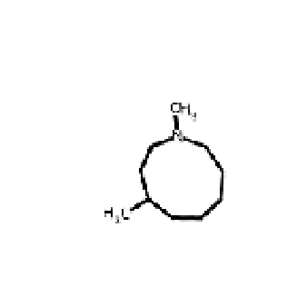 CC1CCCCCN(C)CC1